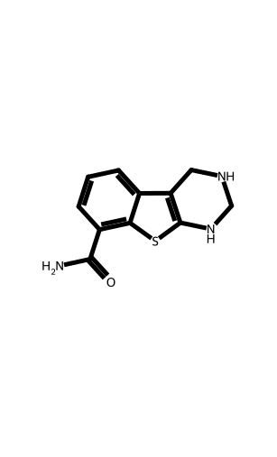 NC(=O)c1cccc2c3c(sc12)NCNC3